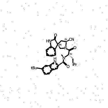 CC(C)C[C@@H](C(=O)N1C[C@]2(C[C@H]1C#N)C(=O)Nc1ccccc12)N(C)C(=O)c1cc2ccc(C(C)(C)C)cc2[nH]1